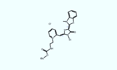 CCn1c(=O)/c(=C2\Sc3ccccc3N2C)s/c1=C\c1cccc[n+]1CCNC(=O)OC(C)(C)C.[Cl-]